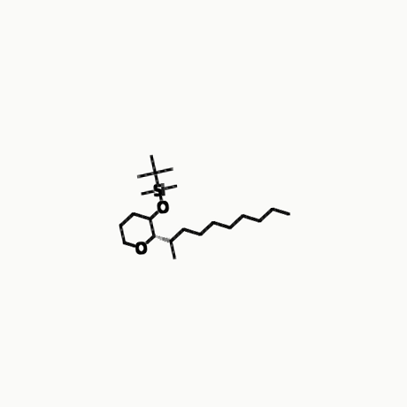 CCCCCCCCC(C)[C@@H]1OCCCC1O[Si](C)(C)C(C)(C)C